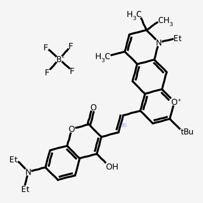 CCN(CC)c1ccc2c(O)c(/C=C/c3cc(C(C)(C)C)[o+]c4cc5c(cc34)C(C)=CC(C)(C)N5CC)c(=O)oc2c1.F[B-](F)(F)F